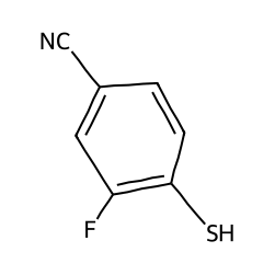 N#Cc1ccc(S)c(F)c1